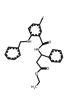 CCOC(=O)CC(NC(=O)c1cc(I)ccc1NCc1ccccc1)c1ccccc1